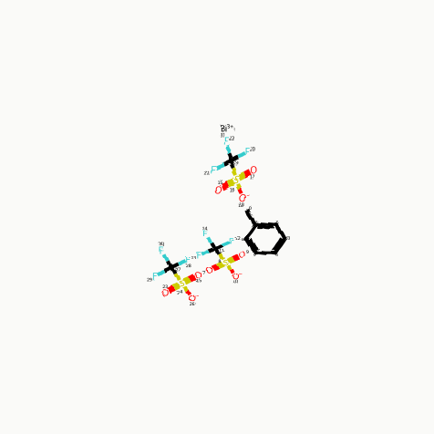 Cc1ccccc1.O=S(=O)([O-])C(F)(F)F.O=S(=O)([O-])C(F)(F)F.O=S(=O)([O-])C(F)(F)F.[Bi+3]